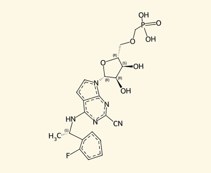 C[C@H](Nc1nc(C#N)nc2c1ccn2[C@@H]1O[C@H](COCP(=O)(O)O)[C@@H](O)[C@H]1O)c1ccccc1F